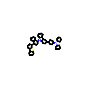 c1ccc(N(c2ccccc2)c2ccc(-c3ccc4c(c3)c3ccccc3n4-c3ccc(-c4cccc5c4sc4ccccc45)c4ccccc34)cc2)cc1